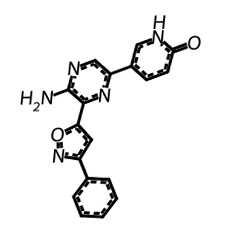 Nc1ncc(-c2ccc(=O)[nH]c2)nc1-c1cc(-c2ccccc2)no1